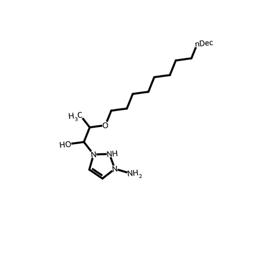 CCCCCCCCCCCCCCCCCCOC(C)C(O)N1C=CN(N)N1